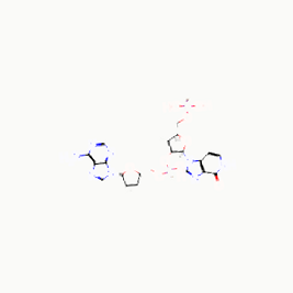 Nc1ncnc2c1ncn2[C@@H]1O[C@H](COP(O)(=S)OC2[C@@H](F)[C@@H](COP(O)(O)=S)O[C@H]2n2cnc3c(=O)[nH]ccc32)C[C@@H]1F